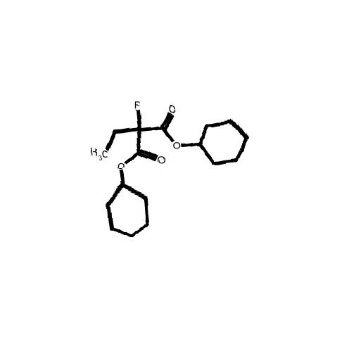 CCC(F)(C(=O)OC1CCCCC1)C(=O)OC1CCCCC1